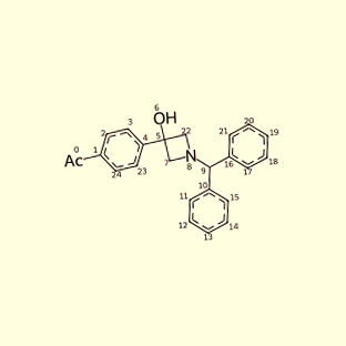 CC(=O)c1ccc(C2(O)CN(C(c3ccccc3)c3ccccc3)C2)cc1